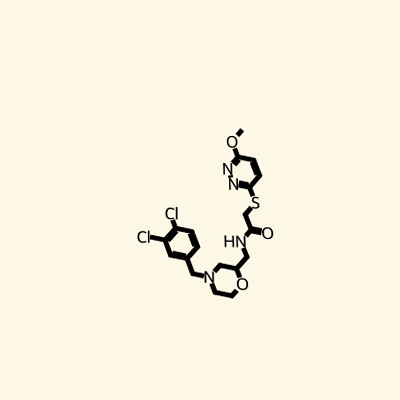 COc1ccc(SCC(=O)NCC2CN(Cc3ccc(Cl)c(Cl)c3)CCO2)nn1